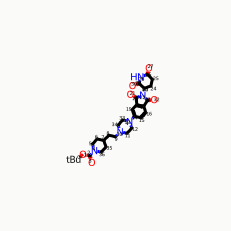 CC(C)(C)OC(=O)N1CCC(CCN2CCN(c3ccc4c(c3)C(=O)N([C@H]3CCC(=O)NC3=O)C4=O)CC2)CC1